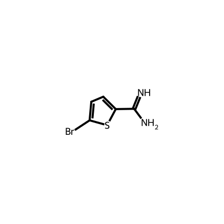 N=C(N)c1ccc(Br)s1